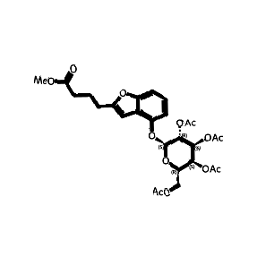 COC(=O)CCCc1cc2c(O[C@@H]3O[C@H](COC(C)=O)[C@H](OC(C)=O)[C@H](OC(C)=O)[C@H]3OC(C)=O)cccc2o1